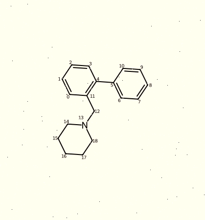 [c]1cccc(-c2ccccc2)c1CN1CCCCC1